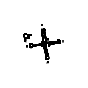 [Cs+].[O]=[Mn](=[O])(=[O])[O-]